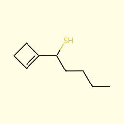 CCCCC(S)C1=CCC1